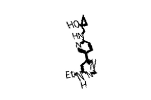 CCNc1cc(-c2ccc(NCC3(O)CC3)nc2)ncn1